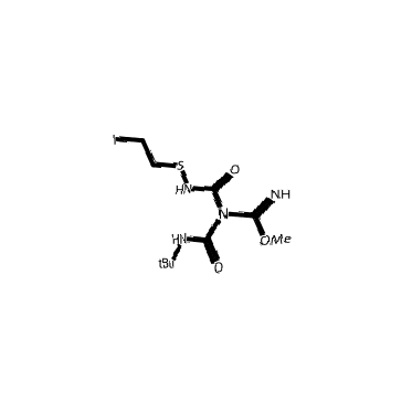 COC(=N)N(C(=O)NSCCI)C(=O)NC(C)(C)C